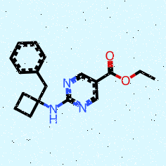 CCOC(=O)c1cnc(NC2(Cc3ccccc3)CCC2)nc1